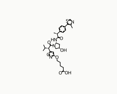 Cc1ncsc1-c1ccc([C@H](C)C(=O)N[C@@H]2C[C@@H](O)CN2C(=O)[C@@H](c2cc(OCCCCC(=O)O)no2)C(C)C)cc1